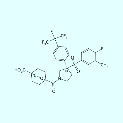 Cc1cc(S(=O)(=O)[C@@]2(c3ccc(C(F)(C(F)(F)F)C(F)(F)F)cc3)CCN(C(=O)C34CCC(C(=O)O)(CC3)CO4)C2)ccc1F